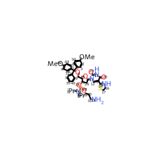 COc1ccc(C(OCC2OC(n3cc(C4NCCS4)c(=O)[nH]c3=O)CC2OP(OCCCN)N(C(C)C)C(C)C)(c2ccccc2)c2ccc(OC)cc2)cc1